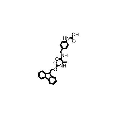 CC(NC(=O)OCC1c2ccccc2-c2ccccc21)C(=O)NCc1ccc(NC(=O)O)cc1